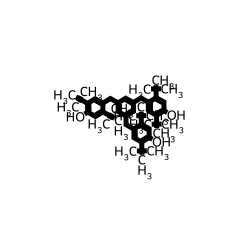 CC(C)(C)c1cc(Cc2cc(Cc3cc(C(C)(C)C)c(O)cc3C(C)(C)C)cc(Cc3cc(C(C)(C)C)c(O)cc3C(C)(C)C)c2)c(C(C)(C)C)cc1O